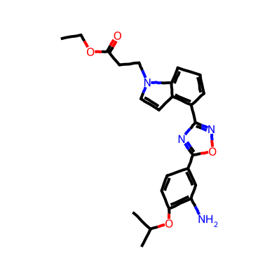 CCOC(=O)CCn1ccc2c(-c3noc(-c4ccc(OC(C)C)c(N)c4)n3)cccc21